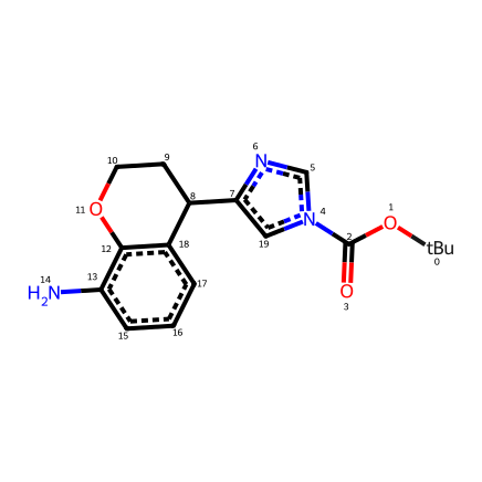 CC(C)(C)OC(=O)n1cnc(C2CCOc3c(N)cccc32)c1